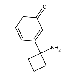 NC1(C2=CC(=O)CC=C2)CCC1